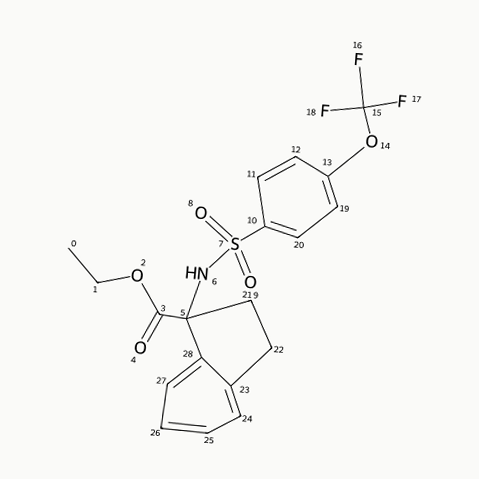 CCOC(=O)C1(NS(=O)(=O)c2ccc(OC(F)(F)F)cc2)CCc2ccccc21